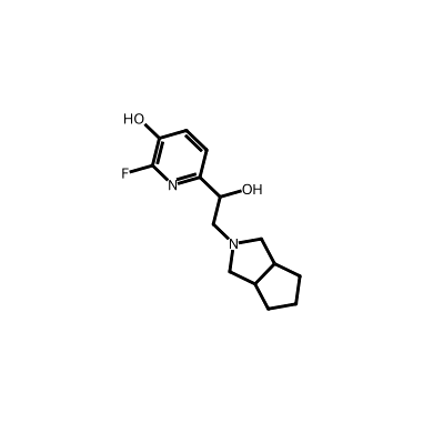 Oc1ccc(C(O)CN2CC3CCCC3C2)nc1F